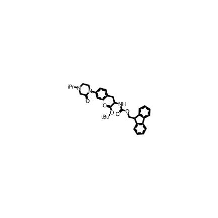 CC(C)N1CCN(c2ccc(CC(NC(=O)OCC3c4ccccc4-c4ccccc43)C(=O)OC(C)(C)C)cc2)C(=O)C1